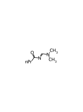 [CH2]CCC(=O)N=CN(C)C